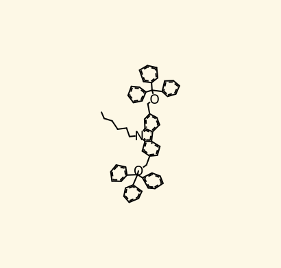 CCCCCCn1c2cc(COC(c3ccccc3)(c3ccccc3)c3ccccc3)ccc2c2ccc(COC(c3ccccc3)(c3ccccc3)c3ccccc3)cc21